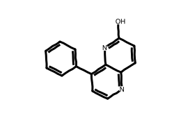 Oc1ccc2nccc(-c3ccccc3)c2n1